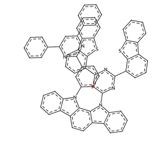 c1ccc(-c2cc(-c3ccccc3)nc(-c3cccc(-n4c5ccccc5c5ccc6c7ccccc7n(-c7nc(-c8cccc9c8sc8ccccc89)nc(-c8cccc9c8sc8ccccc89)n7)c6c54)c3)n2)cc1